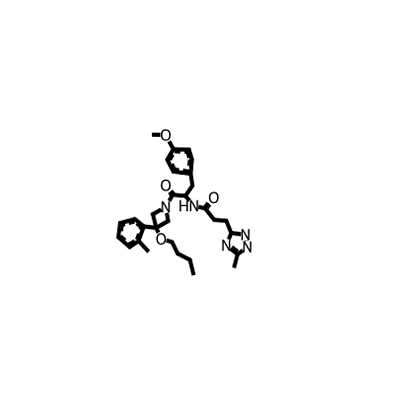 CCCCOC1(c2ccccc2C)CN(C(=O)C(Cc2ccc(OC)cc2)NC(=O)CCC2N=NC(C)=N2)C1